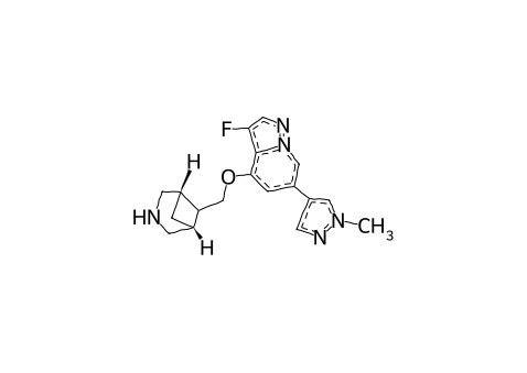 Cn1cc(-c2cc(OCC3[C@@H]4CNC[C@H]3C4)c3c(F)cnn3c2)cn1